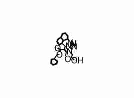 CC1=C(C(=O)OCc2ccccc2)C(c2cccc3ccccc23)n2nnnc2N1CC(=O)O